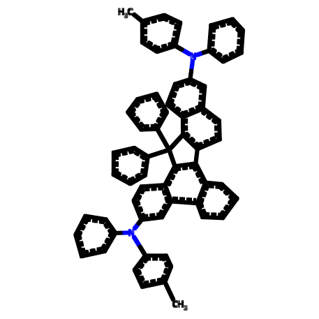 Cc1ccc(N(c2ccccc2)c2ccc3c4c(ccc3c2)-c2c(c3ccc(N(c5ccccc5)c5ccc(C)cc5)cc3c3ccccc23)C4(c2ccccc2)c2ccccc2)cc1